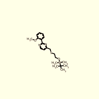 COc1ccccc1-c1nccc(CSCCO[Si](C)(C)C(C)(C)C)n1